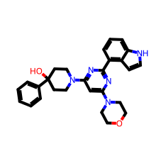 OC1(c2ccccc2)CCN(c2cc(N3CCOCC3)nc(-c3cccc4[nH]ccc34)n2)CC1